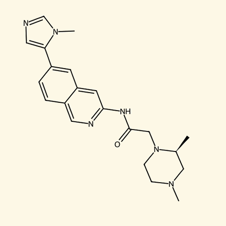 C[C@H]1CN(C)CCN1CC(=O)Nc1cc2cc(-c3cncn3C)ccc2cn1